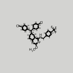 COc1nc(NCc2ccc(C(F)(F)F)cc2)c2cc(C(c3ccc(Cl)cc3)c3ccc(Cl)cc3)ccc2n1